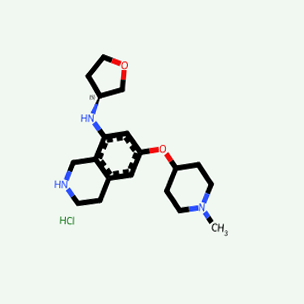 CN1CCC(Oc2cc3c(c(N[C@H]4CCOC4)c2)CNCC3)CC1.Cl